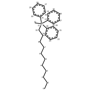 CCCCCCCCCCCP(C)(c1ccccc1)(c1ccccc1)c1ccccc1